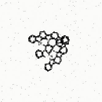 Cc1ccccc1-c1c(C#N)c(-n2c3c(ccc4c5ccccc5sc43)c3ccc4c5ccccc5sc4c32)c(-c2ccccc2C)c(-n2c3c(ccc4c5ccccc5sc43)c3ccc4c5ccccc5sc4c32)c1C#N